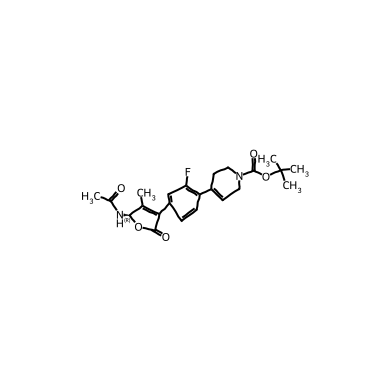 CC(=O)N[C@@H]1OC(=O)C(c2ccc(C3=CCN(C(=O)OC(C)(C)C)CC3)c(F)c2)=C1C